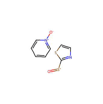 O=[S+]c1nccs1.[O-][n+]1ccccc1